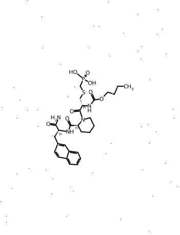 CCCCOC(=O)N[C@@H](CSCP(=O)(O)O)C(=O)N1CCCC[C@H]1C(=O)N[C@@H](Cc1ccc2ccccc2c1)C(N)=O